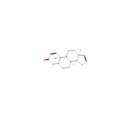 C[C@]12C=CC(=O)C[C@@H]1CC[C@@H]1[C@@H]2CC[C@]2(C)C=CC[C@@H]12